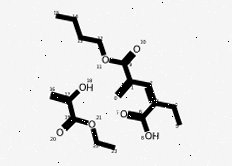 C=C(C=C(CC)C(=O)O)C(=O)OCCCC.C=C(O)C(=O)OCC